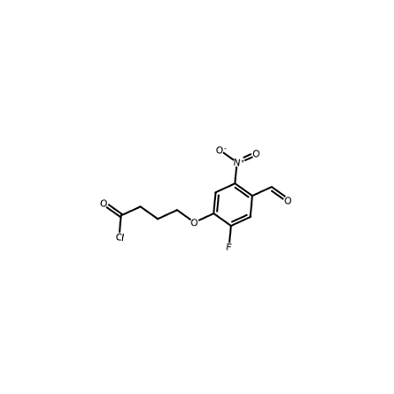 O=Cc1cc(F)c(OCCCC(=O)Cl)cc1[N+](=O)[O-]